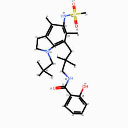 Cc1c2c(c(CC(C)(C)CNC(=O)c3ccccc3O)c(C)c1NS(C)(=O)=O)N(CC(C)(C)C)CC2